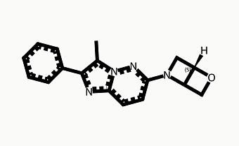 Cc1c(-c2ccccc2)nc2ccc(N3C[C@@H]4OCC43)nn12